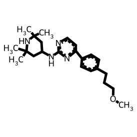 COCCCc1ccc(-c2ccnc(NC3CC(C)(C)NC(C)(C)C3)n2)cc1